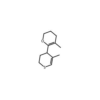 CC1=CSCCC1C1=C(C)CCCO1